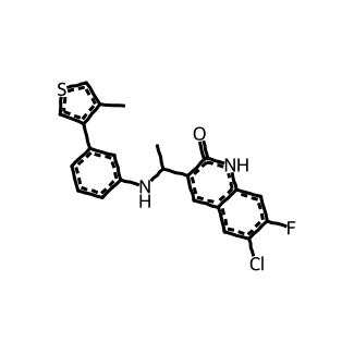 Cc1cscc1-c1cccc(NC(C)c2cc3cc(Cl)c(F)cc3[nH]c2=O)c1